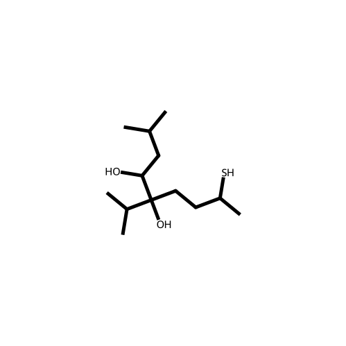 CC(C)CC(O)C(O)(CCC(C)S)C(C)C